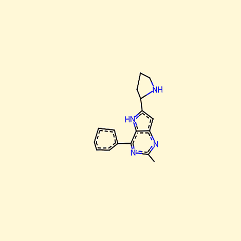 Cc1nc(-c2ccccc2)c2[nH]c(C3CCCN3)cc2n1